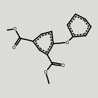 COC(=O)c1ccc(Oc2ccccc2)c(C(=O)OC)c1